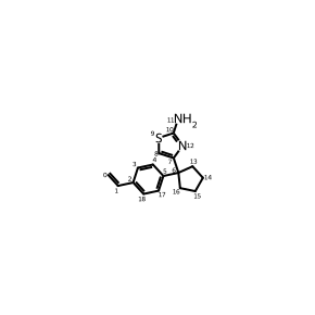 C=Cc1ccc(C2(c3csc(N)n3)CCCC2)cc1